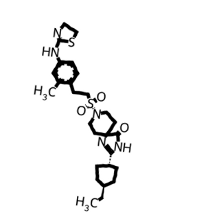 CC[C@H]1CC[C@H](C2=NC3(CCN(S(=O)(=O)CCc4ccc(NC5=NCCS5)cc4C)CC3)C(=O)N2)CC1